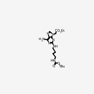 CCOC(=O)Cn1cnc2c(N)nc(NCCCCNC(=O)OC(C)(C)C)nc21